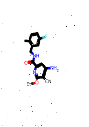 CCOc1nc(C(=O)NCc2cc(F)ccc2C)cc(N)c1C#N